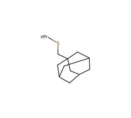 CCCSCC12CC3CC(CC(C3)C1)C2